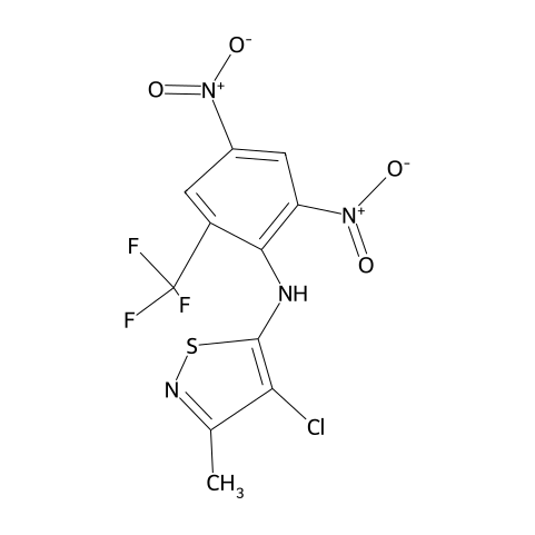 Cc1nsc(Nc2c([N+](=O)[O-])cc([N+](=O)[O-])cc2C(F)(F)F)c1Cl